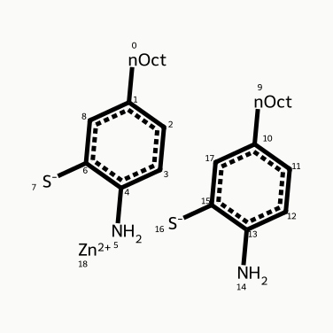 CCCCCCCCc1ccc(N)c([S-])c1.CCCCCCCCc1ccc(N)c([S-])c1.[Zn+2]